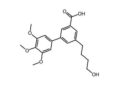 COc1cc(-c2cc(CCCCO)cc(C(=O)O)c2)cc(OC)c1OC